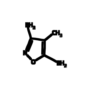 Bc1noc(B)c1C